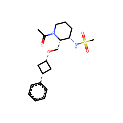 CC(=O)N1CCC[C@H](NS(C)(=O)=O)[C@@H]1CO[C@H]1C[C@@H](c2ccccc2)C1